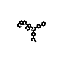 C=C/C=C(\C=C)c1ccc(-c2cc(-c3ccc(-c4ccccc4)cc3)nc(-c3ccc(-c4ccc5ccc6cccnc6c5n4)c(C=C)c3C=C)n2)cc1